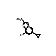 CCOC(=O)c1nc2c(Br)cc(C3CC3)cn2n1